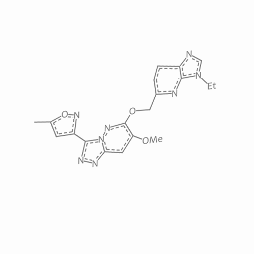 CCn1cnc2ccc(COc3nn4c(-c5cc(C)on5)nnc4cc3OC)nc21